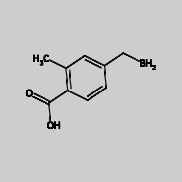 BCc1ccc(C(=O)O)c(C)c1